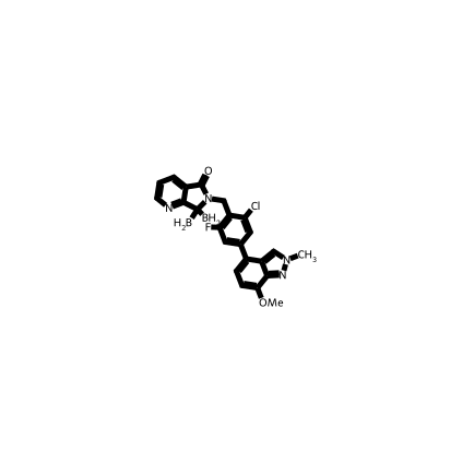 BC1(B)c2ncccc2C(=O)N1Cc1c(F)cc(-c2ccc(OC)c3nn(C)cc23)cc1Cl